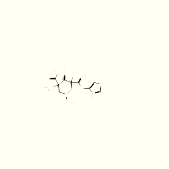 CN1CC(C)(C(=O)O)C(=O)C(C)(C(=O)Oc2cscn2)C1